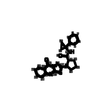 O=C(NC1(c2ccccc2)CC1)C1CCCN1c1nn2c(=O)c3ccccc3nc2s1